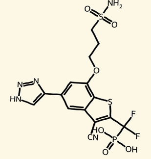 N#Cc1c(C(F)(F)P(=O)(O)O)sc2c(OCCCS(N)(=O)=O)cc(-c3c[nH]nn3)cc12